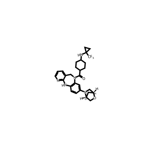 O=C(C1CCC(NC2(C(F)(F)F)CC2)CC1)N1Cc2cccnc2Nc2ccc(N3C[C@H]4C[C@@H]3CO4)cc21